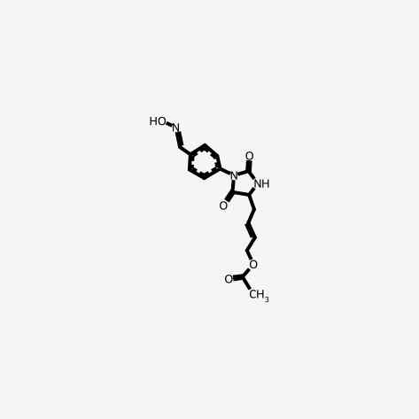 CC(=O)OCC=CCC1NC(=O)N(c2ccc(C=NO)cc2)C1=O